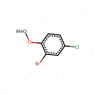 COOc1ccc(Cl)cc1Br